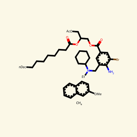 C.CCCCCCCCCCCCCCCCCC(=O)OC(COC(C)=O)COC(=O)c1cc(Br)c(N)c(CN(CC)C2CCCCC2)c1.COc1ccc2ccccc2c1